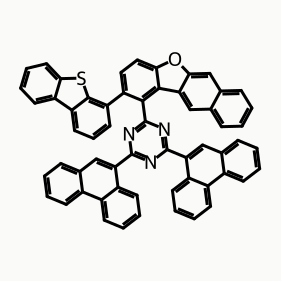 c1ccc2cc3c(cc2c1)oc1ccc(-c2cccc4c2sc2ccccc24)c(-c2nc(-c4cc5ccccc5c5ccccc45)nc(-c4cc5ccccc5c5ccccc45)n2)c13